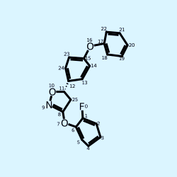 Fc1ccccc1OC1=NO[C@H](c2ccc(Oc3ccccc3)cc2)C1